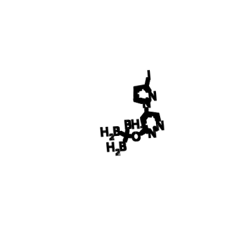 BC(B)(B)Oc1cc(-n2ccc(I)n2)cnn1